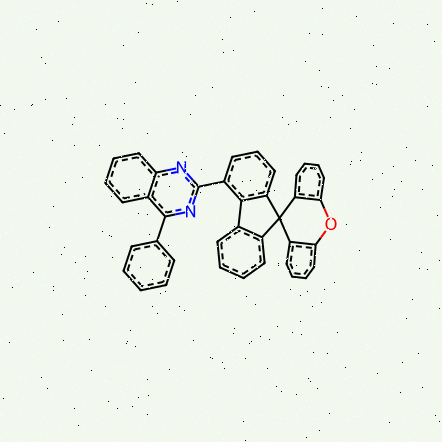 c1ccc(-c2nc(-c3cccc4c3-c3ccccc3C43c4ccccc4Oc4ccccc43)nc3ccccc23)cc1